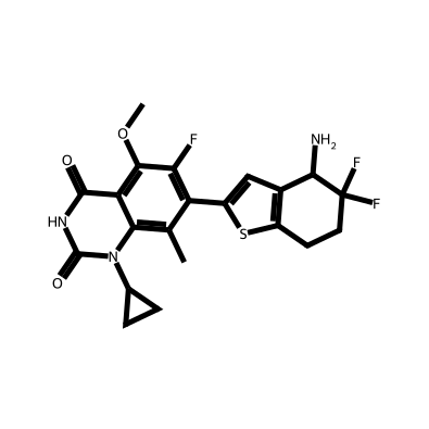 COc1c(F)c(-c2cc3c(s2)CCC(F)(F)C3N)c(C)c2c1c(=O)[nH]c(=O)n2C1CC1